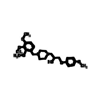 COc1ccc(OCC(O)CN2CCN(Cc3ccc(OC)c(OC)c3OC)CC2)cc1